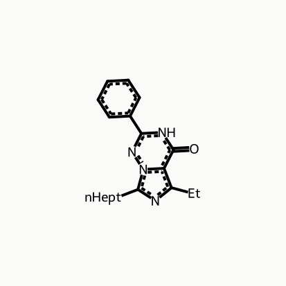 CCCCCCCc1nc(CC)c2c(=O)[nH]c(-c3ccccc3)nn12